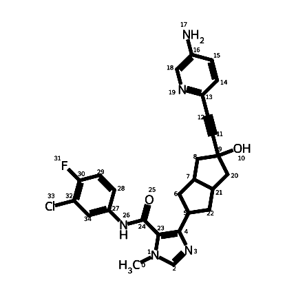 Cn1cnc(C2CC3CC(O)(C#Cc4ccc(N)cn4)CC3C2)c1C(=O)Nc1ccc(F)c(Cl)c1